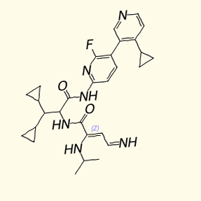 CC(C)N/C(=C\C=N)C(=O)NC(C(=O)Nc1ccc(-c2cnccc2C2CC2)c(F)n1)C(C1CC1)C1CC1